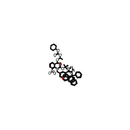 CC(OC(=O)OC1CCCCC1)OC(=O)c1cccc([N+](=O)[O-])c1N(Cc1ccc(-c2ccccc2)c(-c2nnnn2C(c2ccccc2)(c2ccccc2)c2ccccc2)c1)C(=O)OC(C)(C)C